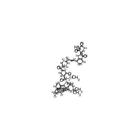 C[C@@H]1CN(C(=O)[C@@H]2NC3(CCC(C)(C)CC3)[C@@]3(CNc4cc(C5CC5)ncc43)[C@H]2c2cccc(Cl)c2F)c2ccc(C(=O)N3CCC4(CC3)C[C@H]4C#Cc3cccc4c3CN([C@H]3CCC(=O)NC3=O)C4=O)cc2O1